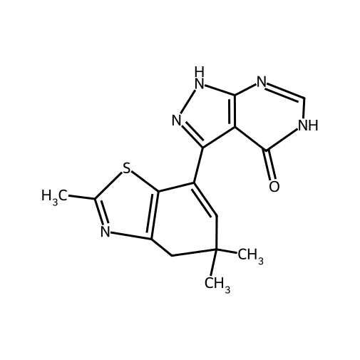 Cc1nc2c(s1)C(c1n[nH]c3nc[nH]c(=O)c13)=CC(C)(C)C2